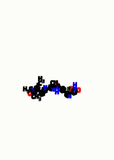 CCc1cc(-c2cccc3cc(-c4cnc(C(=O)NCc5ccc(-c6ccnc(C7CCC(=O)NC7=O)c6F)cc5)c(C)c4)ncc23)c2cc(C)c(=O)n(C)c2c1